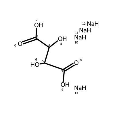 O=C(O)C(O)C(O)C(=O)O.[NaH].[NaH].[NaH].[NaH]